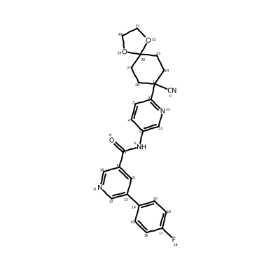 N#CC1(c2ccc(NC(=O)c3cncc(-c4ccc(F)cc4)c3)cn2)CCC2(CC1)OCCO2